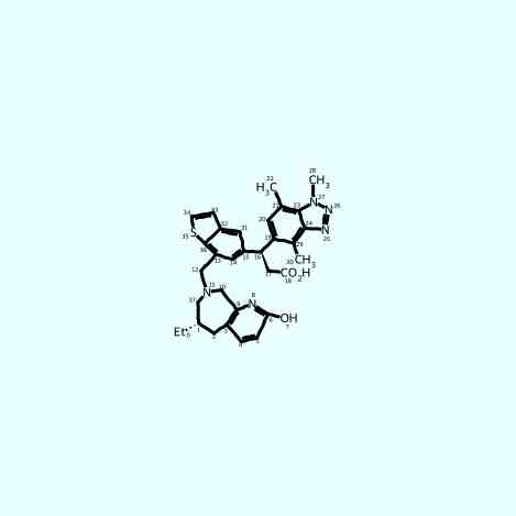 CC[C@H]1Cc2ccc(O)nc2CN(Cc2cc([C@H](CC(=O)O)c3cc(C)c4c(nnn4C)c3C)cc3ccsc23)C1